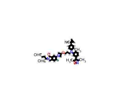 Cc1ccc(-c2c(C)noc2C)cc1N(CCCOC1CN(c2cc3c(cc2F)CN(C(C=O)CCC=O)C3=O)C1)c1ccc(C2(C#N)CC2)cc1